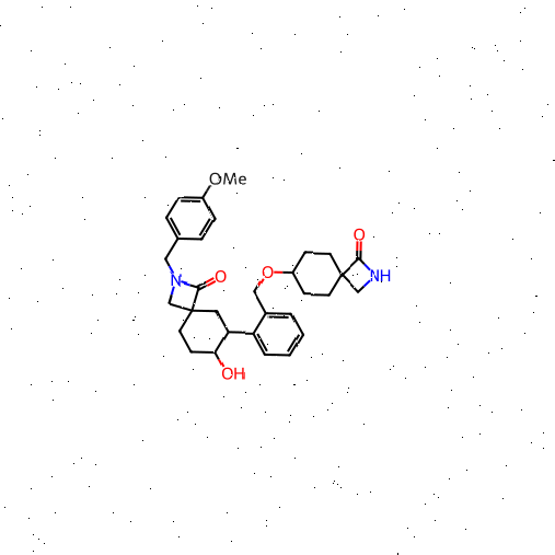 COc1ccc(CN2CC3(CCC(O)C(c4ccccc4COC4CCC5(CC4)CNC5=O)C3)C2=O)cc1